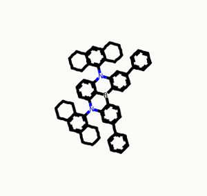 c1ccc(-c2ccc3c(c2)N(c2c4c(cc5c2CCCC5)CCCC4)c2cccc4c2B3c2ccc(-c3ccccc3)cc2N4c2c3c(cc4c2CCCC4)CCCC3)cc1